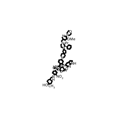 COc1cc(CN2CCN([C@@H]3CCC4(CCN(c5ccc(C(=O)NS(=O)(=O)c6ccc(NCC7CCC(C)(O)CC7)c([N+](=O)[O-])c6)c(N6c7cc8cc[nH]c8nc7O[C@H]7COCC[C@@H]76)c5)CC4)C3)[C@H](c3ccccc3C(C)C)C2)cnc1N1CCOCC1